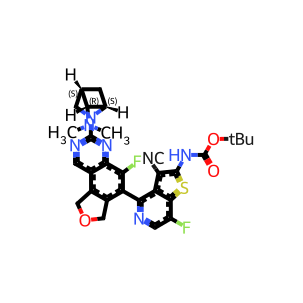 CN(C)[C@@H]1[C@H]2C[C@@H]1N(c1ncc3c4c(c(-c5ncc(F)c6sc(NC(=O)OC(C)(C)C)c(C#N)c56)c(F)c3n1)COC4)C2